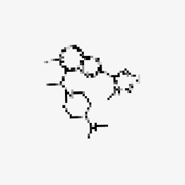 Cc1ccc2cc(-c3cncn3C)cn2c1C(C)N1CCC(N(C)C)CC1